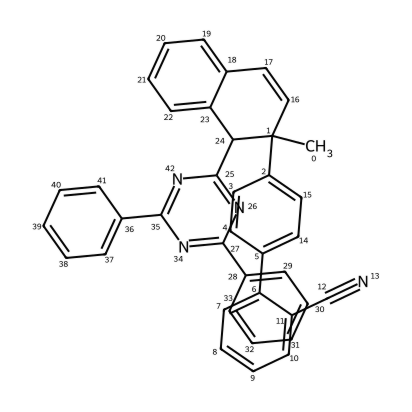 CC1(c2ccc(-c3ccccc3C#N)cc2)C=Cc2ccccc2C1c1nc(-c2ccccc2)nc(-c2ccccc2)n1